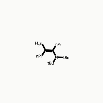 CCCC([SiH3])=C(CCC)N(C(C)(C)C)C(C)(C)C